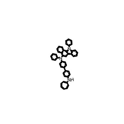 C1=CC=CC(Nc2ccc(-c3ccc(N(c4ccccc4)c4cc5c6ccccc6n(-c6ccccc6)c5c5ccccc45)cc3)cc2)=CC=1